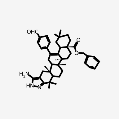 CC1(C)CC[C@]2(C(=O)OCc3ccccc3)CC[C@]3(C)C(=C(c4ccc(C=O)cc4)CC4[C@@]5(C)Cc6c(n[nH]c6N)C(C)(C)C5CC[C@]43C)C2C1